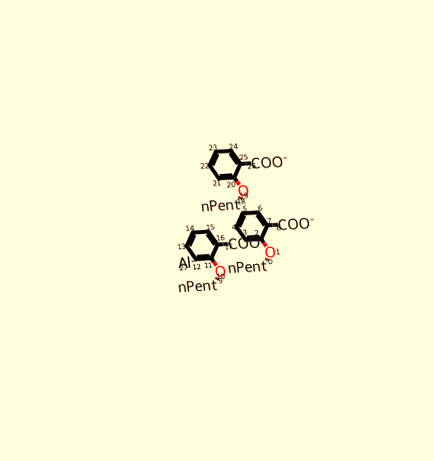 CCCCCOc1ccccc1C(=O)[O-].CCCCCOc1ccccc1C(=O)[O-].CCCCCOc1ccccc1C(=O)[O-].[Al+3]